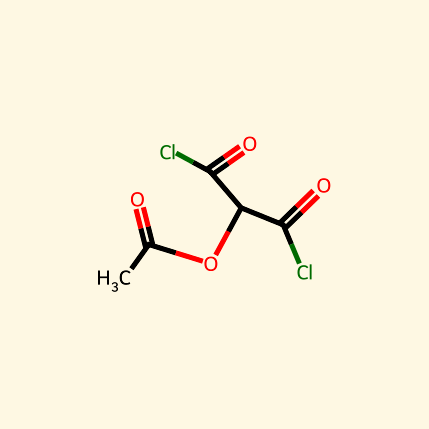 CC(=O)OC(C(=O)Cl)C(=O)Cl